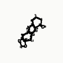 O=C1CCCc2nc3cc4c(cc3cc21)OCO4